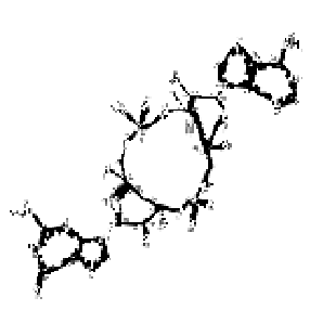 Nc1nc2c(ncn2[C@@H]2O[C@@H]3CO[P@@](=O)(S)O[C@H]4[C@@H](O)[C@H](n5cnc6c(N)ncnc65)O[C@@H]4CNS(=O)(=O)O[C@H]3[C@H]2F)c(=O)[nH]1